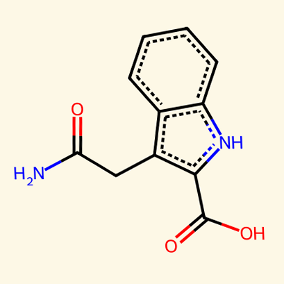 NC(=O)Cc1c(C(=O)O)[nH]c2ccccc12